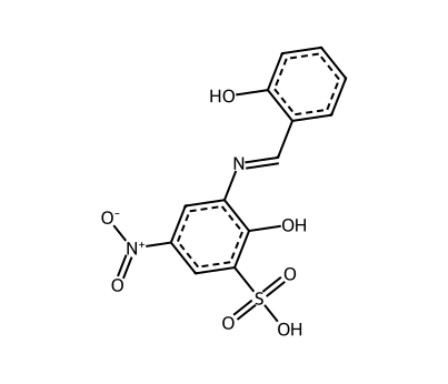 O=[N+]([O-])c1cc(/N=C/c2ccccc2O)c(O)c(S(=O)(=O)O)c1